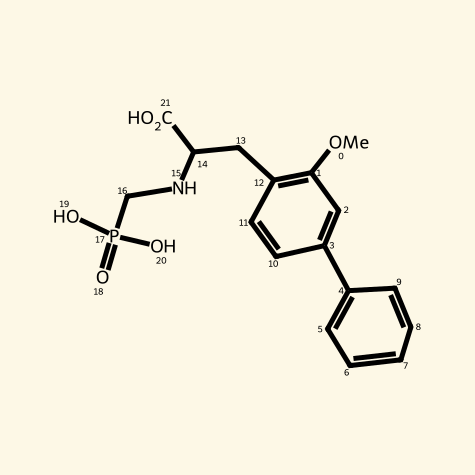 COc1cc(-c2ccccc2)ccc1CC(NCP(=O)(O)O)C(=O)O